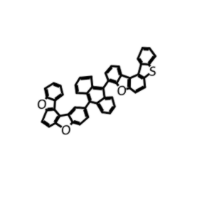 c1ccc2c(c1)oc1ccc3oc4ccc(-c5c6ccccc6c(-c6cccc7c6oc6ccc8sc9ccccc9c8c67)c6ccccc56)cc4c3c12